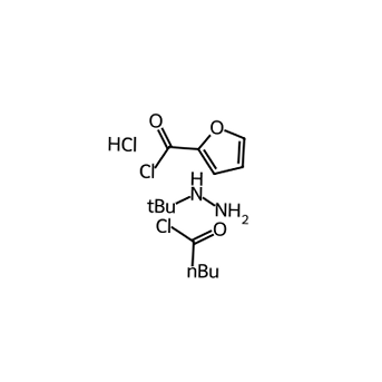 CC(C)(C)NN.CCCCC(=O)Cl.Cl.O=C(Cl)c1ccco1